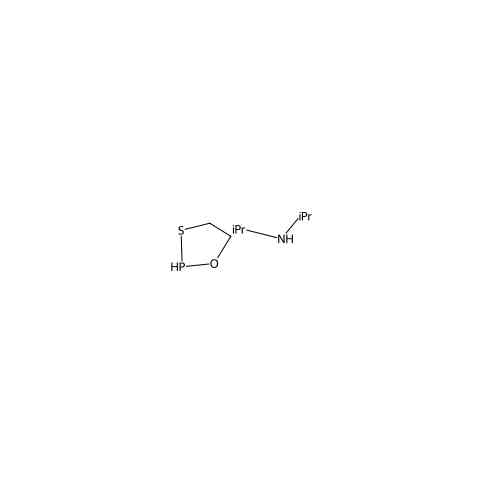 C1CSPO1.CC(C)NC(C)C